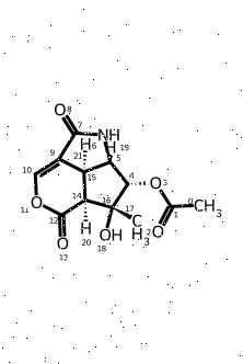 CC(=O)O[C@H]1[C@H]2NC(=O)C3=COC(=O)[C@@H]([C@@H]32)[C@@]1(C)O